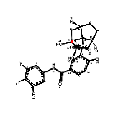 O=C(Nc1cc(F)c(F)c(F)c1)c1ccc(Cl)c(S(=O)(=O)[C@H]2[C@H]3CC[C@H]2C[C@H](O)C(O)C3)c1